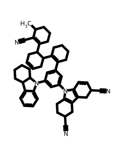 CC1CCCC(C2CC=CCC2C2=C(c3cc(N4c5ccccc5C5CCCCC54)cc(-n4c5c(c6c4CCC(C#N)C6)CC(C#N)C=C5)c3)CCCC2)=C1C#N